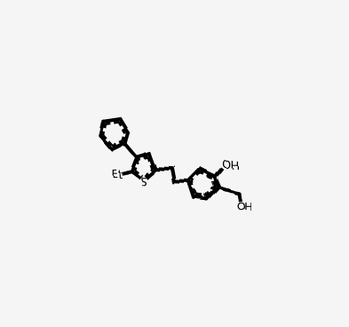 CCc1sc(CCc2ccc(CO)c(O)c2)cc1-c1ccccc1